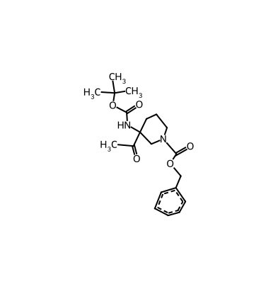 CC(=O)C1(NC(=O)OC(C)(C)C)CCCN(C(=O)OCc2ccccc2)C1